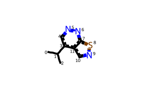 CC(C)c1cnnc2sncc12